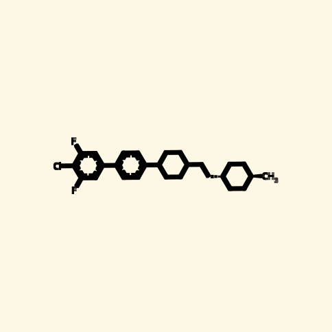 C[C@H]1CC[C@H](CCC2CCC(c3ccc(-c4cc(F)c(Cl)c(F)c4)cc3)CC2)CC1